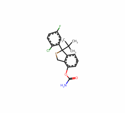 CC(C)(C)C1(c2cc(F)ccc2Cl)SCc2c(OC(N)=O)cccc21